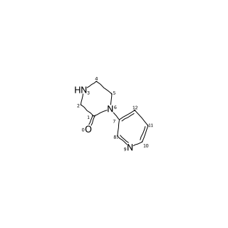 O=C1CNCCN1c1[c]nccc1